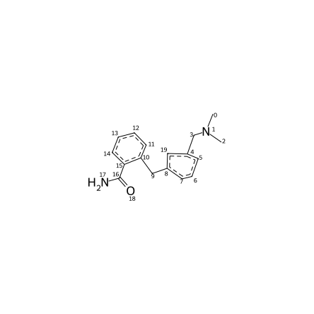 CN(C)Cc1cccc(Cc2ccccc2C(N)=O)c1